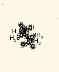 Bc1cc(B)c2c(c1)c1cc3c(cc1n2-c1cc(-c2ccccc2)cc(-c2ccccc2)c1)c1cc(B)cc(B)c1n3-c1nc(-c2ccccc2)nc(-c2ccccc2)n1